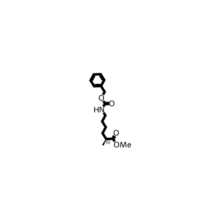 COC(=O)[C@@H](C)CCCCNC(=O)OCc1ccccc1